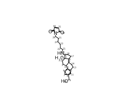 C[C@]12CCC3c4ccc(CO)cc4CCC3C1CC[C@@H]2NCCCCCCN1C(=O)C=CC1=O